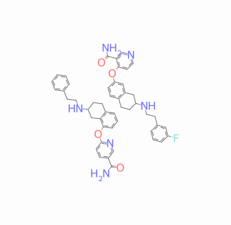 NC(=O)c1ccc(Oc2cccc3c2CC(NCCc2ccccc2)CC3)nc1.NC(=O)c1cnccc1Oc1ccc2c(c1)CC(NCCc1cccc(F)c1)CC2